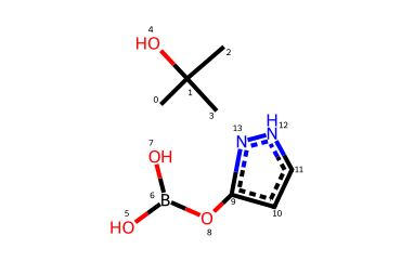 CC(C)(C)O.OB(O)Oc1cc[nH]n1